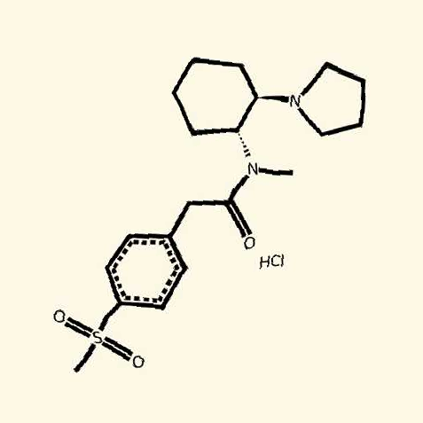 CN(C(=O)Cc1ccc(S(C)(=O)=O)cc1)[C@@H]1CCCC[C@H]1N1CCCC1.Cl